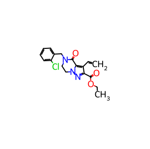 C=Cc1c(C(=O)OCC)nn2c1C(=O)N(Cc1ccccc1Cl)CC2